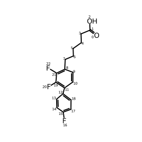 O=C(O)CCCCCc1ccc(-c2ccc(F)cc2)c(F)c1F